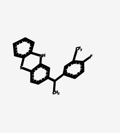 CC(c1ccc2c(c1)Nc1ccccc1S2)c1ccc(F)c(C(F)(F)F)c1